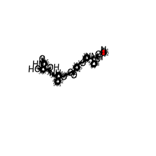 O=C(NC(c1ccccc1)c1cccc(OCc2ccc(C(=O)OCCOc3ccc(CNCC(O)c4ccc(O)c5[nH]c(=O)ccc45)c4ccccc34)cc2)c1)O[C@H]1CN2CCC1CC2